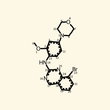 COc1cc(N2CCOCC2)ccc1Nc1ncc2cccc(Br)c2n1